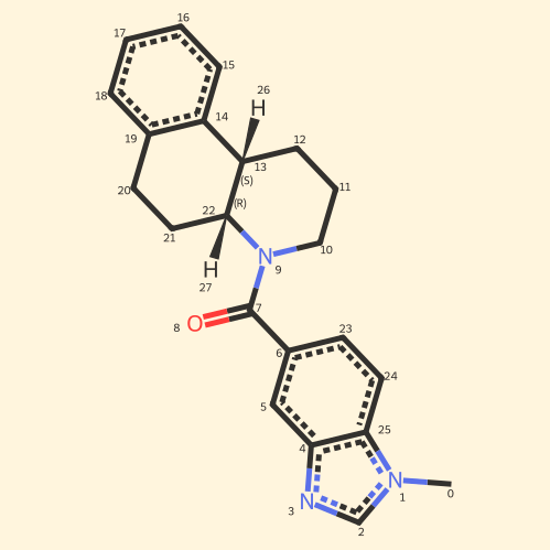 Cn1cnc2cc(C(=O)N3CCC[C@H]4c5ccccc5CC[C@H]43)ccc21